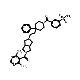 Cc1ncnc(C)c1C(=O)N1CC2CN(CCC3(c4ccccc4)CCN(C(=O)c4cccc(S(N)(=O)=O)c4)CC3)CC2C1